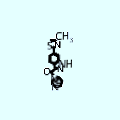 Cc1csc(-c2ccc3c(C(=O)N4CCN5CCC4CC5)n[nH]c3c2)n1